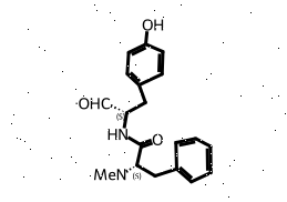 CN[C@@H](Cc1ccccc1)C(=O)N[C@H]([C]=O)Cc1ccc(O)cc1